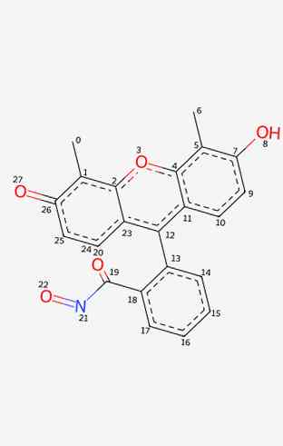 Cc1c2oc3c(C)c(O)ccc3c(-c3ccccc3C(=O)N=O)c-2ccc1=O